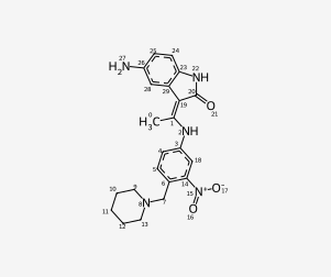 C/C(Nc1ccc(CN2CCCCC2)c([N+](=O)[O-])c1)=C1/C(=O)Nc2ccc(N)cc21